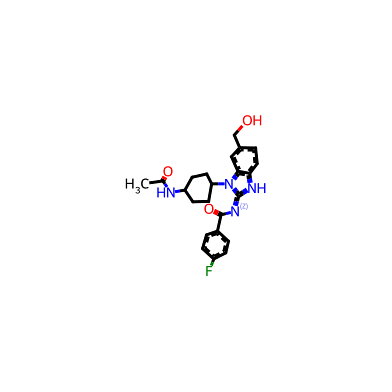 CC(=O)NC1CCC(n2/c(=N\C(=O)c3ccc(F)cc3)[nH]c3ccc(CO)cc32)CC1